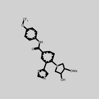 COC1CN(c2ccc(C(=O)Nc3ccc(OC(F)(F)F)cc3)cc2-c2cncs2)CC1O